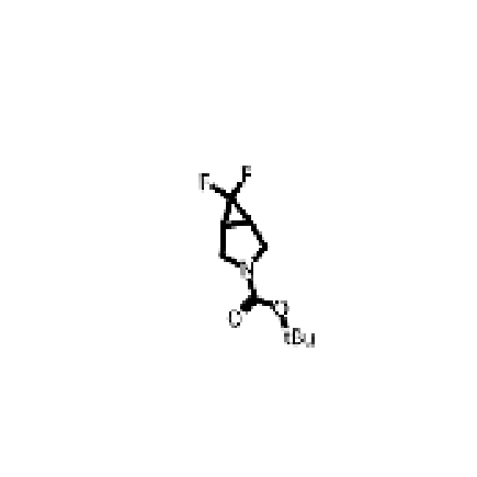 CC(C)(C)OC(=O)N1CC2C(C1)C2(F)F